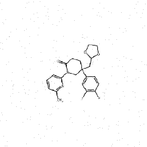 Cc1cccc(N2CC(CC3OCCO3)(c3ccc(F)c(F)c3)CCC2=O)n1